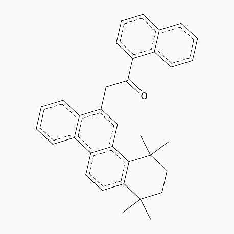 CC1(C)CCC(C)(C)c2c1ccc1c2cc(CC(=O)c2cccc3ccccc23)c2ccccc21